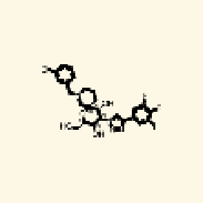 OC[C@H]1O[C@@]2(CCCN(Cc3cccc(Cl)c3)C2)[C@H](O)[C@@H](n2cc(-c3cc(F)c(F)c(F)c3)nn2)[C@H]1O